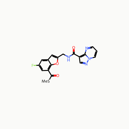 CSC(=O)c1cc(F)cc2cc(CNC(=O)c3cnn4cccnc34)oc12